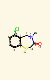 CN1Cc2c(Cl)cccc2SCC1=O